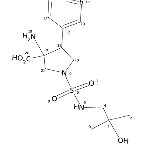 CC(C)(O)CNS(=O)(=O)N1CC(c2cbccc2)C(N)(C(=O)O)C1